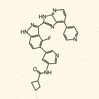 O=C(Nc1cncc(-c2ccc3[nH]nc(-c4nc5c(-c6ccncc6)ccnc5[nH]4)c3c2F)c1)C1CCC1